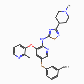 COc1cccc(Sc2cnc(Nc3nc(C4CCN(C(C)=O)CC4)ns3)c(Oc3cccnc3C)c2)c1